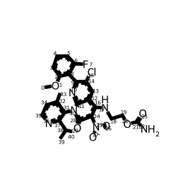 COc1cccc(F)c1-c1nc2c(cc1Cl)c(NCCOC(N)=O)c([N+](=O)[O-])c(=O)n2-c1c(C)ccnc1C(C)C